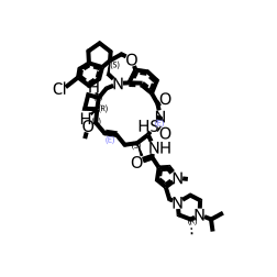 CO[C@H]1/C=C/C[C@H](C)C(NC(=O)c2cc(CN3CCN(C(C)C)[C@H](C)C3)n(C)c2)/[SH](=O)=N\C(=O)c2ccc3c(c2)N(C[C@@H]2CC[C@H]21)C[C@@]1(CCCc2cc(Cl)ccc21)CO3